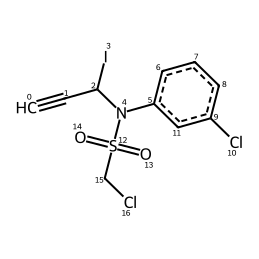 C#CC(I)N(c1cccc(Cl)c1)S(=O)(=O)CCl